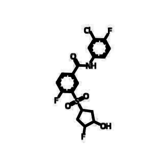 O=C(Nc1ccc(F)c(Cl)c1)c1ccc(F)c(S(=O)(=O)C2CC(O)C(F)C2)c1